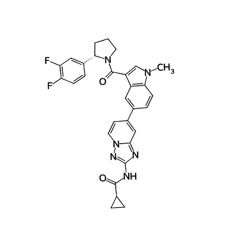 Cn1cc(C(=O)N2CCC[C@H]2c2ccc(F)c(F)c2)c2cc(-c3ccn4nc(NC(=O)C5CC5)nc4c3)ccc21